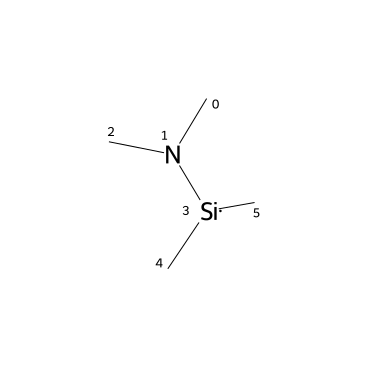 CN(C)[Si](C)C